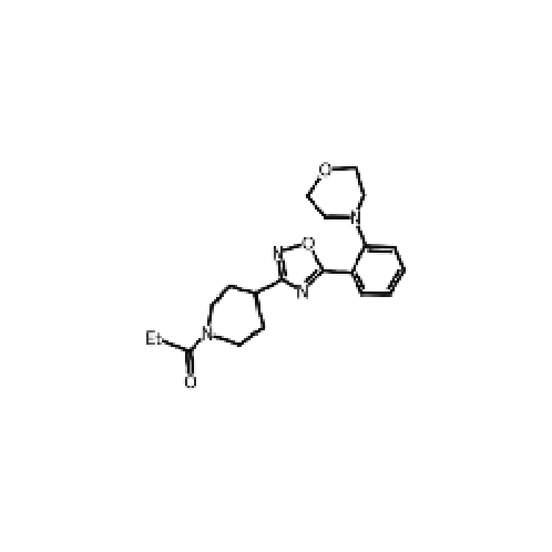 CCC(=O)N1CCC(c2noc(-c3ccccc3N3CCOCC3)n2)CC1